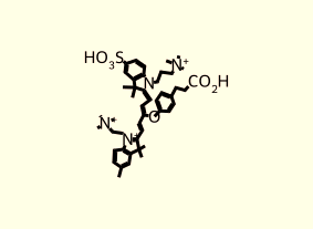 Cc1ccc2c(c1)C(C)(C)C(/C=C/C(=C/C=C1/N(CCC[N+](C)(C)C)c3ccc(S(=O)(=O)O)cc3C1(C)C)Oc1ccc(CCC(=O)O)cc1)=[N+]2CC[N+](C)(C)C